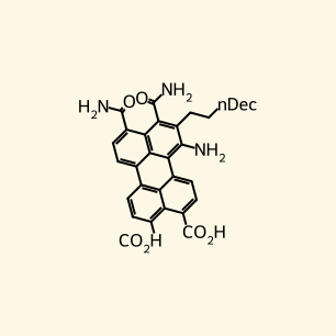 CCCCCCCCCCCCc1c(C(N)=O)c2c(C(N)=O)ccc3c4ccc(C(=O)O)c5c(C(=O)O)ccc(c(c1N)c23)c54